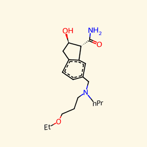 CCCN(CCCOCC)Cc1ccc2c(c1)[C@@H](C(N)=O)[C@H](O)C2